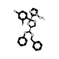 Cn1ccnc1[C@@]1(c2ccc(F)cc2F)OC[C@@H](C(OCc2ccccc2)Oc2ccccc2)O1